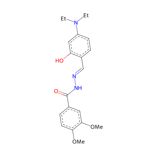 CCN(CC)c1ccc(C=NNC(=O)c2ccc(OC)c(OC)c2)c(O)c1